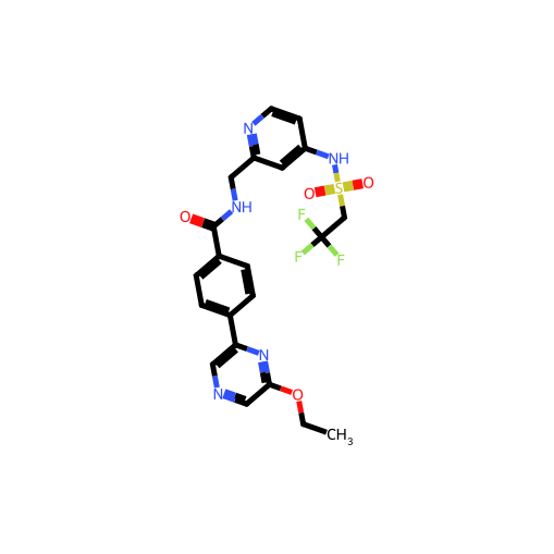 CCOc1cncc(-c2ccc(C(=O)NCc3cc(NS(=O)(=O)CC(F)(F)F)ccn3)cc2)n1